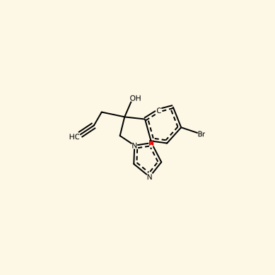 C#CCC(O)(Cn1cncn1)c1ccc(Br)cc1